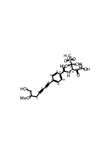 COC(CO)CC#CC#Cc1ccc(C(=O)N[C@H](C(=O)NO)C(C)(C)S(C)(=O)=O)cc1